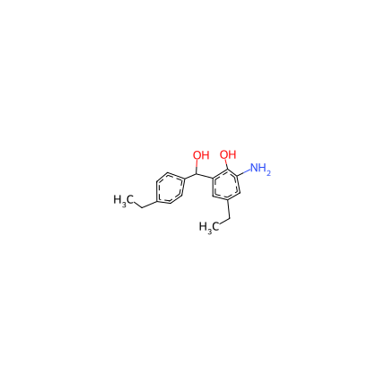 CCc1ccc(C(O)c2cc(CC)cc(N)c2O)cc1